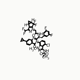 Cn1nc(NS(C)(=O)=O)c2c(Cl)ccc(-n3c([C@H](Cc4cc(F)cc(F)c4)NC(=O)Cn4nc(C(F)F)c5c4C(F)(F)[C@@H]4C[C@H]54)nc4cc(C5CC5)ccc4c3=O)c21